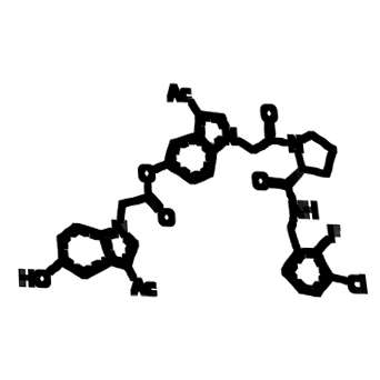 CC(=O)c1cn(CC(=O)Oc2ccc3c(c2)c(C(C)=O)cn3CC(=O)N2CCC[C@H]2C(=O)NCc2cccc(Cl)c2F)c2ccc(O)cc12